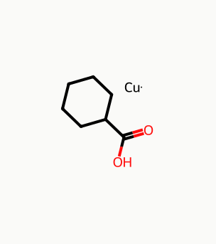 O=C(O)C1CCCCC1.[Cu]